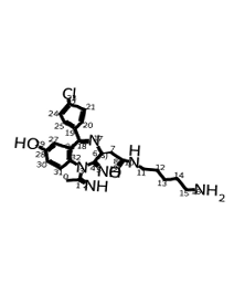 CC(=N)N1C(=N)[C@H](CC(=O)NCCCCCN)N=C(c2ccc(Cl)cc2)c2cc(O)ccc21